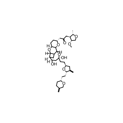 C=C1CC[C@H](CC[C@@H]2O[C@@H](CC[C@@]3(O)C[C@@H](O)[C@@H]4CC5[C@@H](O3)C3O[C@@H](CC(=O)C[C@H]6[C@H](C)OC[C@@H]6OC)CC[C@@H]3O[C@H]54)CC2=C)OC1